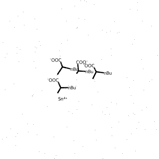 CCCCC(C)C(=O)[O-].CCCCC(C)C(=O)[O-].CCCCC(C)C(=O)[O-].CCCCC(C)C(=O)[O-].[Sn+4]